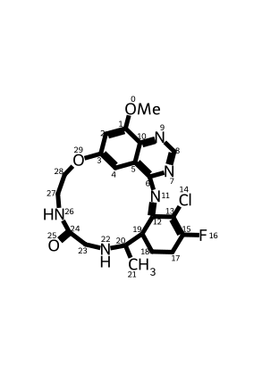 COc1cc2cc3c(ncnc13)/N=C1/C(Cl)=C(F)CCC1C(C)NCC(=O)NCCO2